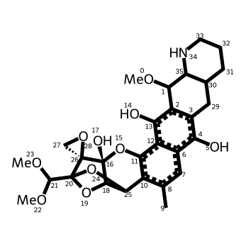 COC1c2c(c(O)c3cc(C)c4c(c3c2O)O[C@]2(O)C3OC(C(OC)OC)(OC43)[C@]23CO3)CC2CCCNC21